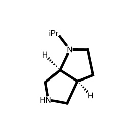 CC(C)N1CC[C@H]2CNC[C@H]21